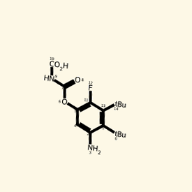 CC(C)(C)c1c(N)cc(OC(=O)NC(=O)O)c(F)c1C(C)(C)C